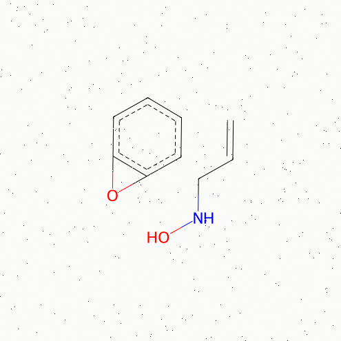 C=CCNO.c1ccc2c(c1)O2